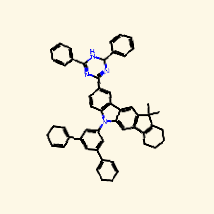 CC1(C)C2=C(CCCC2)c2cc3c(cc21)c1cc(C2=NC(c4ccccc4)NC(c4ccccc4)=N2)ccc1n3-c1cc(C2=CCCC=C2)cc(C2=CCCC=C2)c1